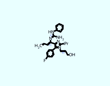 C=C/C=C(\N=C(/N)Nc1ccccc1)c1nc(C(C)C)n(/C=C/CO)c1-c1ccc(F)cc1